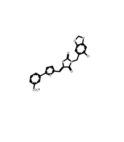 O=C(O)c1cccc(-c2ccc(/C=C3\SC(=O)N(Cc4cc5c(cc4Cl)OCO5)C3=O)s2)c1